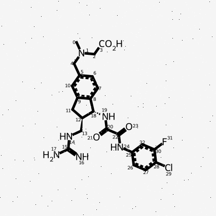 CN(CC(=O)O)Cc1ccc2c(c1)C[C@H](CNC(=N)N)[C@H]2NC(=O)C(=O)Nc1ccc(Cl)c(F)c1